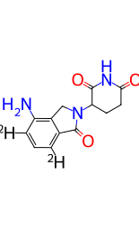 [2H]c1cc([2H])c2c(c1N)CN(C1CCC(=O)NC1=O)C2=O